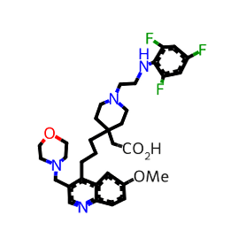 COc1ccc2ncc(CN3CCOCC3)c(CCCC3(CC(=O)O)CCN(CCNc4c(F)cc(F)cc4F)CC3)c2c1